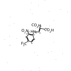 O=C(O)C(=CNc1ccc(C(F)(F)F)cc1[N+](=O)[O-])C(=O)O